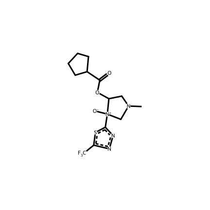 CN1CC(OC(=O)C2CCCC2)[N+]([O-])(c2nnc(C(F)(F)F)s2)C1